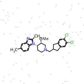 CO[C@H]1CN(CC2Cc3cc(Cl)c(Cl)cc3C2)CC[C@@H]1n1c(C)nc2cc(C)ccc21